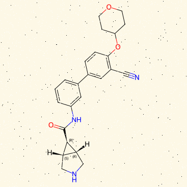 N#Cc1cc(-c2cccc(NC(=O)[C@H]3[C@@H]4CNC[C@@H]43)c2)ccc1OC1CCOCC1